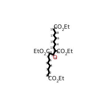 CCOC(=O)CCCCCCCC(C(=O)OCC)C(=O)C(CCCCCCCC(=O)OCC)C(=O)OCC